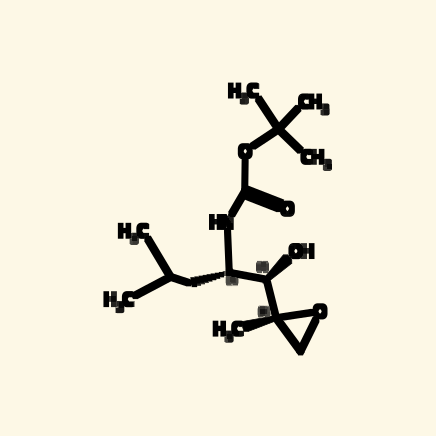 CC(C)C[C@H](NC(=O)OC(C)(C)C)[C@@H](O)[C@@]1(C)CO1